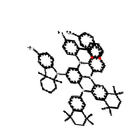 CC(C)(C)c1ccc(N2c3cc(N4c5ccc(C(C)(C)C)cc5C5(C)CCCCC45C)cc4c3B(c3cc5c(cc3N4c3ccc4c(c3)C(C)(C)CCC4(C)C)C(C)(C)CCC5(C)C)c3ccc4sc5ccc(C(C)(C)C)cc5c4c32)c(-c2ccccc2)c1